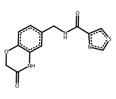 O=C1COc2ccc(CNC(=O)c3cscn3)cc2N1